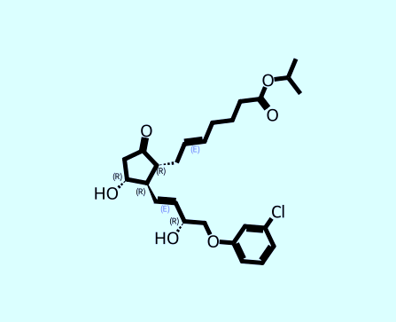 CC(C)OC(=O)CCC/C=C/C[C@H]1C(=O)C[C@@H](O)[C@@H]1/C=C/[C@@H](O)COc1cccc(Cl)c1